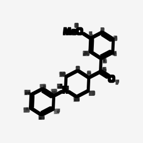 COc1cccc(C(=O)C2CCN(c3ccccc3)CC2)c1